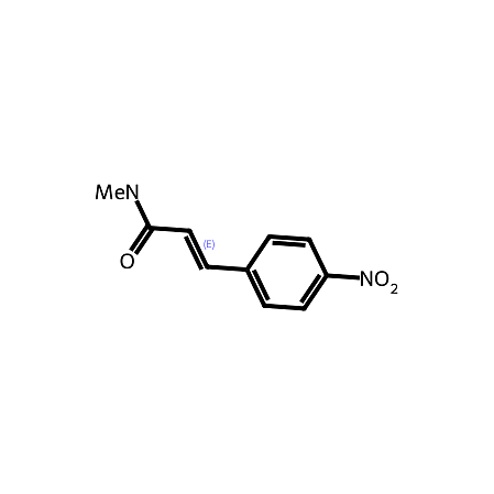 CNC(=O)/C=C/c1ccc([N+](=O)[O-])cc1